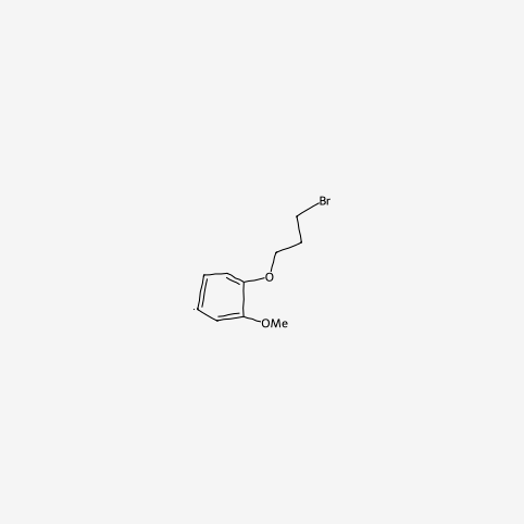 COc1c[c]ccc1OCCCBr